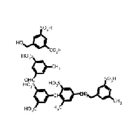 Cc1cc(C(=O)O)cc(S(=O)(=O)O)c1.Cc1cc(C)cc(S(=O)(=O)O)c1.Cc1cc(C=O)cc(S(=O)(=O)O)c1.Cc1cc(CO)cc(S(=O)(=O)O)c1.O=C(O)c1cc(CO)cc(S(=O)(=O)O)c1